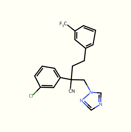 N#CC(CCc1cccc(C(F)(F)F)c1)(Cn1cncn1)c1cccc(Cl)c1